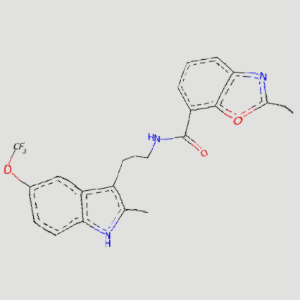 Cc1nc2cccc(C(=O)NCCc3c(C)[nH]c4ccc(OC(F)(F)F)cc34)c2o1